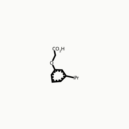 CC(C)c1cccc(OCC(=O)O)c1